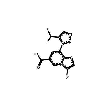 O=C(O)c1cc(-n2nncc2C(F)F)c2ncc(Br)n2c1